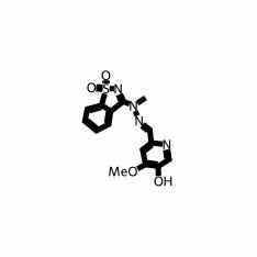 COc1cc(/C=N/N(C)C2=NS(=O)(=O)c3ccccc32)ncc1O